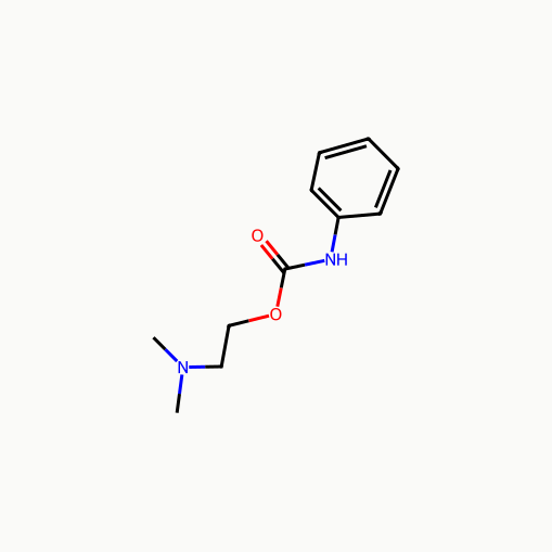 CN(C)CCOC(=O)Nc1ccccc1